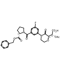 CC(=O)O[C@@H](C(=O)O)[C@H]1OCCN(c2cc(F)cc(C(=O)N3CCC[C@H]3C(=O)OCc3ccccc3)c2)C1=O